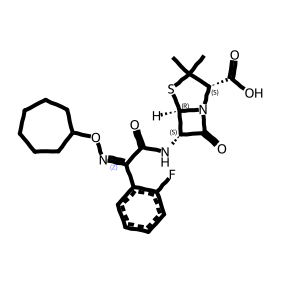 CC1(C)S[C@@H]2[C@@H](NC(=O)/C(=N\OC3CCCCCC3)c3ccccc3F)C(=O)N2[C@H]1C(=O)O